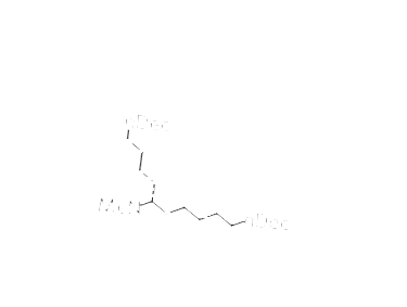 CCCCCCCCCCCCCCCC(CCCCCCCCCCCCCC)NC